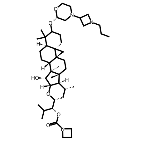 CCCN1CC(N2CCO[C@@H](OC3CC[C@]45C[C@]46CC[C@]4(C)[C@@H]7[C@H](O[C@@H]([C@H](OC(=O)N8CCC8)C(C)C)C[C@H]7C)[C@H](O)[C@@]4(C)[C@@H]6CC[C@H]5C3(C)C)C2)C1